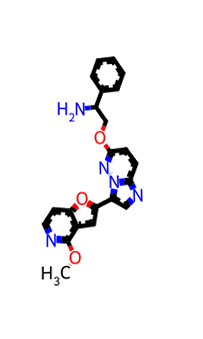 COc1nccc2oc(-c3cnc4ccc(OCC(N)c5ccccc5)nn34)cc12